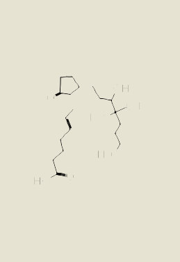 CCCCC(C)(C)C(O)CC[C@H]1CCC(=O)[C@H]1CC=CCCCC(=O)O